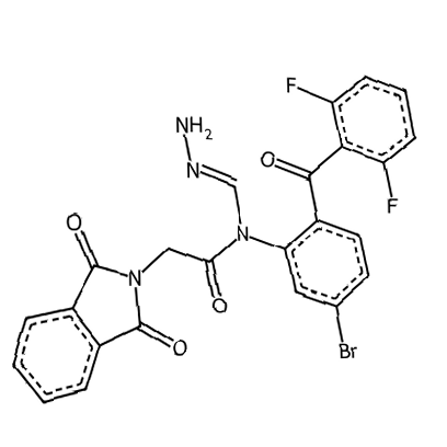 NN=CN(C(=O)CN1C(=O)c2ccccc2C1=O)c1cc(Br)ccc1C(=O)c1c(F)cccc1F